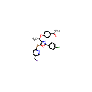 CNC(=O)c1ccc(OC(C)c2nc(-c3ccc(F)cc3)oc2Sc2ccc(CI)cn2)cc1